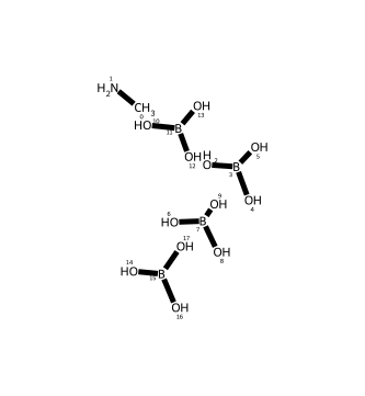 CN.OB(O)O.OB(O)O.OB(O)O.OB(O)O